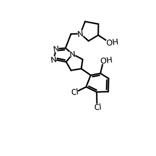 Oc1ccc(Cl)c(Cl)c1C1Cc2nnc(CN3CCC(O)C3)n2C1